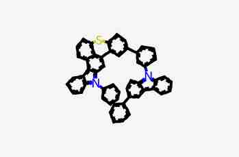 c1ccc(-c2ccc3c(c2)c2ccccc2n3-c2cccc(-c3ccc4c(c3)-c3cc5c(c6cccc(c36)S4)c3ccccc3n5-c3ccccc3)c2)cc1